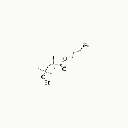 CCOC(C)(C)CC(C)(C)C(=O)OCCCC(C)C